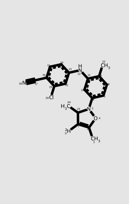 [2H]C1=C(C)ON(c2ccc(C)c(Nc3ccc(C#N)c(Cl)c3)c2)C1C